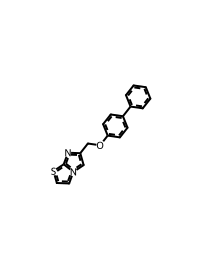 c1ccc(-c2ccc(OCc3cn4ccsc4n3)cc2)cc1